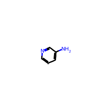 Nc1c[c]cnc1